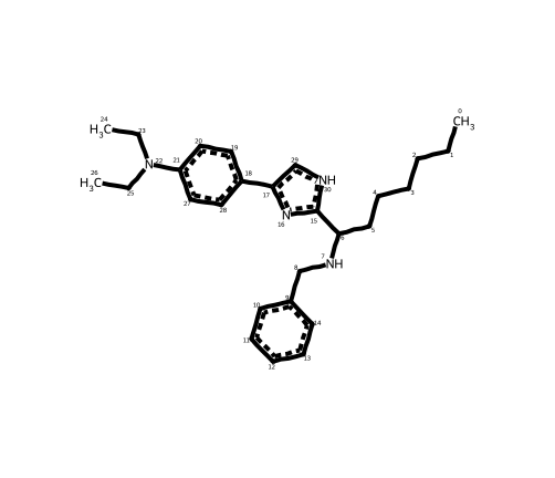 CCCCCCC(NCc1ccccc1)c1nc(-c2ccc(N(CC)CC)cc2)c[nH]1